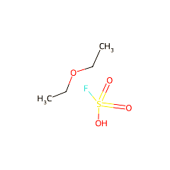 CCOCC.O=S(=O)(O)F